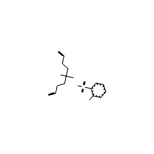 C=CCCC(O)(CCC=C)[C@@H](NS(=O)(=O)c1ccccc1F)[C@@H](C)CC